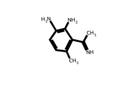 CC(=N)c1c(C)ccc(N)c1N